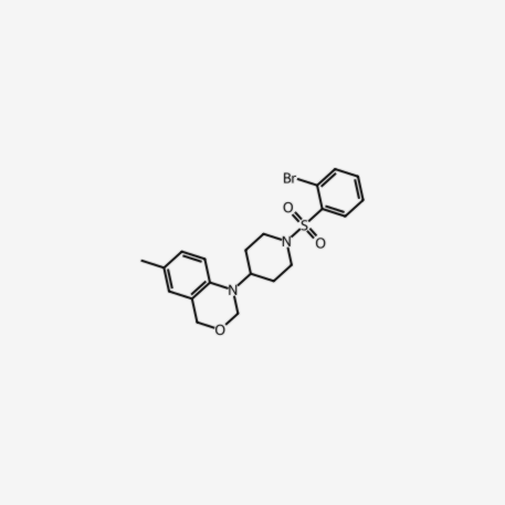 Cc1ccc2c(c1)COCN2C1CCN(S(=O)(=O)c2ccccc2Br)CC1